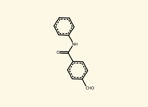 O=Cc1ccc(C(=O)Nc2cc[c]cc2)cc1